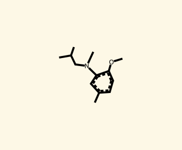 COc1ccc(C)cc1N(C)CC(C)C